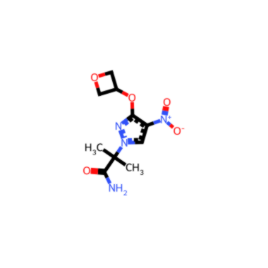 CC(C)(C(N)=O)n1cc([N+](=O)[O-])c(OC2COC2)n1